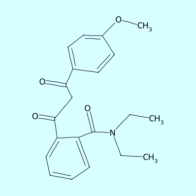 CCN(CC)C(=O)c1ccccc1C(=O)CC(=O)c1ccc(OC)cc1